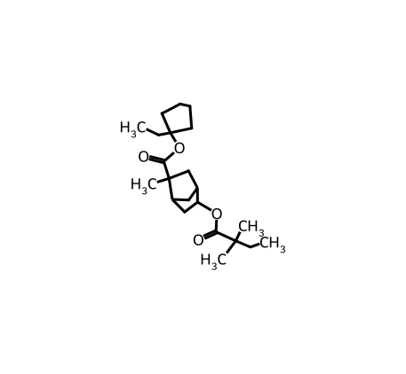 CCC1(OC(=O)C2(C)CC3CC2CC3OC(=O)C(C)(C)CC)CCCC1